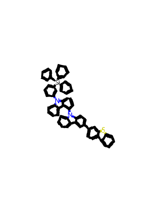 c1ccc([Si](c2ccccc2)(c2ccccc2)c2cccc(-n3c4ccccc4c4c(-n5c6ccccc6c6cc(-c7ccc8c(c7)sc7ccccc78)ccc65)cccc43)c2)cc1